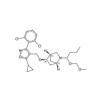 CCCC(OCOC)N1C[C@@H]2C[C@H]1C[C@H]2OCc1c(-c2c(Cl)cccc2Cl)noc1C1CC1